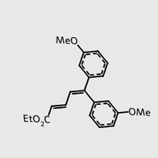 CCOC(=O)C=CC=C(c1cccc(OC)c1)c1cccc(OC)c1